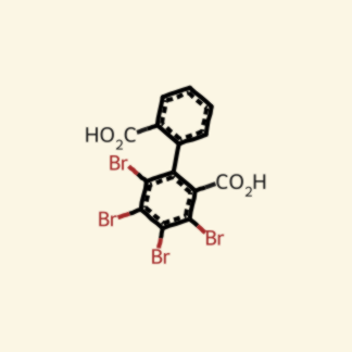 O=C(O)c1ccccc1-c1c(Br)c(Br)c(Br)c(Br)c1C(=O)O